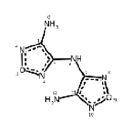 Nc1nonc1Nc1nonc1N